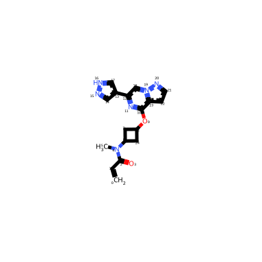 C=CC(=O)N(C)C1CC(Oc2nc(-c3cn[nH]c3)cn3nccc23)C1